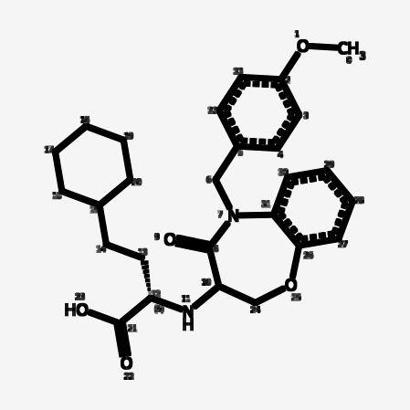 COc1ccc(CN2C(=O)C(N[C@@H](CCC3CCCCC3)C(=O)O)COc3ccccc32)cc1